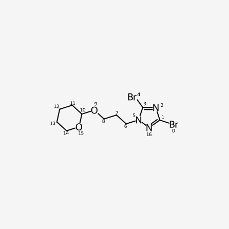 Brc1nc(Br)n(CCCOC2CCCCO2)n1